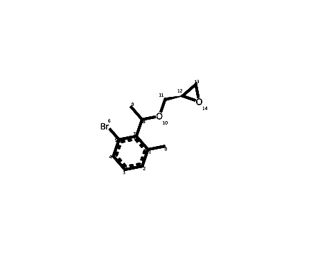 Cc1cccc(Br)c1C(C)OC[C@H]1CO1